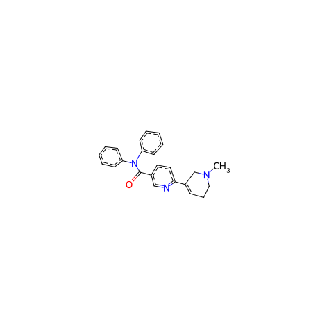 CN1CCC=C(c2ccc(C(=O)N(c3ccccc3)c3ccccc3)cn2)C1